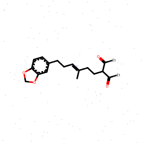 CCC(=O)C(CC/C(C)=C/CCc1ccc2c(c1)OCO2)C(=O)CC